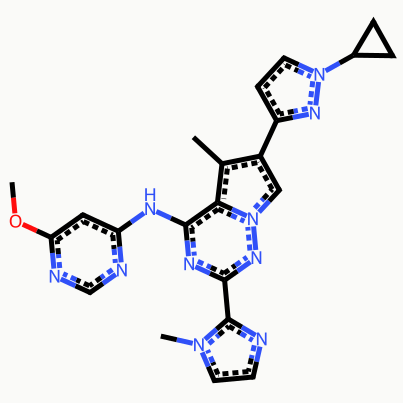 COc1cc(Nc2nc(-c3nccn3C)nn3cc(-c4ccn(C5CC5)n4)c(C)c23)ncn1